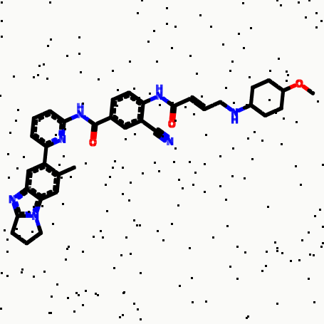 COC1CCC(NC/C=C/C(=O)Nc2ccc(C(=O)Nc3cccc(-c4cc5nc6n(c5cc4C)CCC6)n3)cc2C#N)CC1